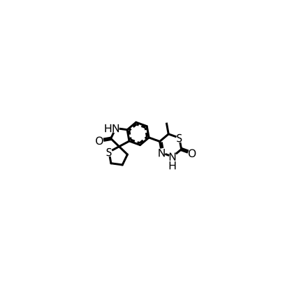 CC1SC(=O)NN=C1c1ccc2c(c1)C1(CCCS1)C(=O)N2